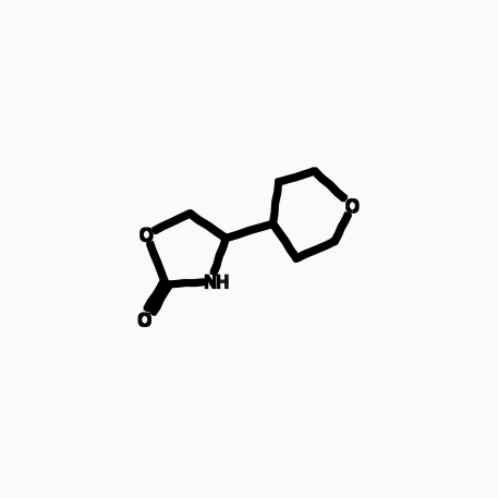 O=C1NC(C2CCOCC2)CO1